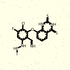 N=Cc1c(NPI)cc(F)c(Cl)c1Oc1cccc2c(=S)[nH]c(=S)[nH]c12